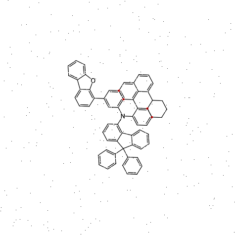 c1ccc(C2(c3ccccc3)c3ccccc3-c3c(N(c4cccc(-c5cccc6c5oc5ccccc56)c4)c4ccccc4-c4cccc5cccc(C6CCCCC6)c45)cccc32)cc1